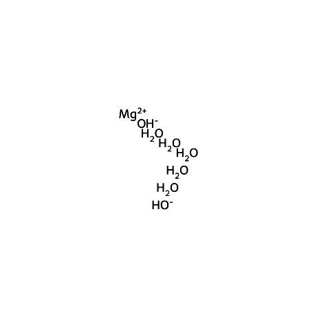 O.O.O.O.O.[Mg+2].[OH-].[OH-]